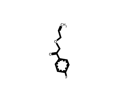 C=CCOCC(=O)c1ccc(F)cc1